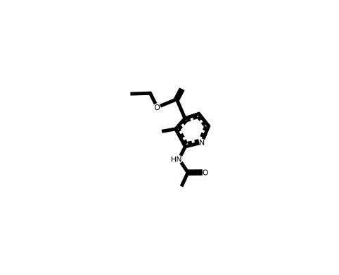 C=C(OCC)c1ccnc(NC(C)=O)c1C